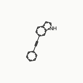 C(#Cc1ccc2cc[nH]c2c1)c1ccccc1